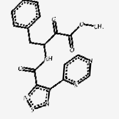 COC(=O)C(=O)C(Cc1ccccc1)NC(=O)c1nsnc1-c1ccncn1